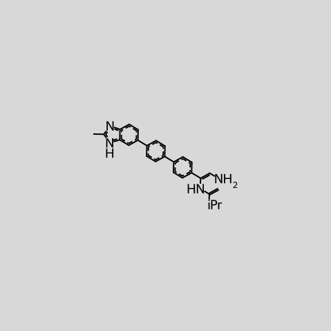 C=C(N/C(=C\N)c1ccc(-c2ccc(-c3ccc4nc(C)[nH]c4c3)cc2)cc1)C(C)C